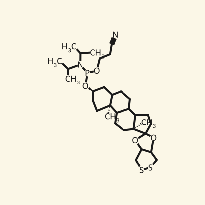 CC(C)N(C(C)C)P(OCCC#N)O[C@@H]1CC[C@@]2(C)C(CCC3C2CC[C@@]2(C)C3CCC23OC2CSSCC2O3)C1